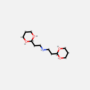 C1COC(CC[N]CCC2OCCCO2)OC1